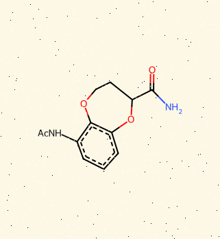 CC(=O)Nc1c[c]cc2c1OCCC(C(N)=O)O2